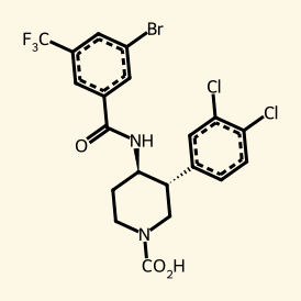 O=C(N[C@@H]1CCN(C(=O)O)C[C@H]1c1ccc(Cl)c(Cl)c1)c1cc(Br)cc(C(F)(F)F)c1